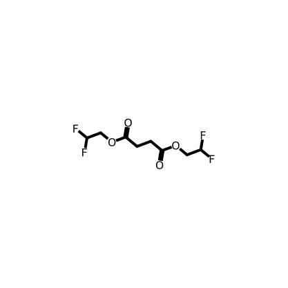 O=C(CCC(=O)OCC(F)F)OCC(F)F